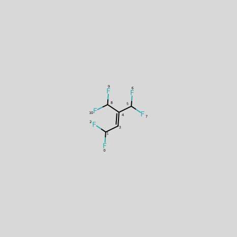 FC(F)C=C(C(F)F)C(F)F